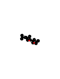 c1cc(-c2ccccc2-n2c3ccccc3c3cc(-n4c5ccccc5c5ccccc54)ccc32)cc(-n2c3ccccc3c3c(-n4c5ccccc5c5ccccc54)cccc32)c1